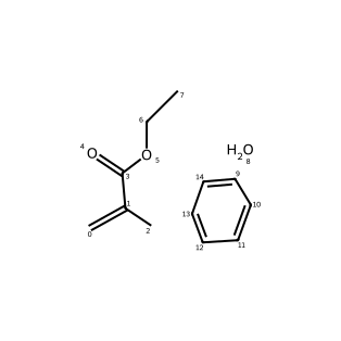 C=C(C)C(=O)OCC.O.c1ccccc1